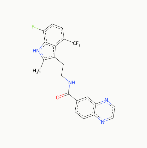 Cc1[nH]c2c(F)ccc(C(F)(F)F)c2c1CCNC(=O)c1ccc2nccnc2c1